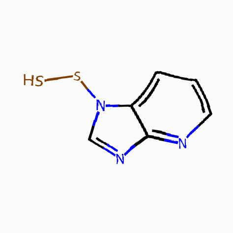 SSn1cnc2ncccc21